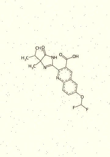 CC(C)C1(C)N=C(c2nc3ccc(OC(F)F)cc3cc2C(=O)O)NC1=O